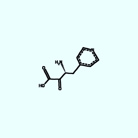 N[C@H](Cc1ccncc1)C(=O)C(=O)O